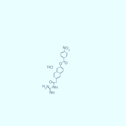 Cl.N=C(N)NC(=O)Cc1ccc2cc(OC(=O)c3ccc([N+](=O)[O-])cc3)ccc2c1